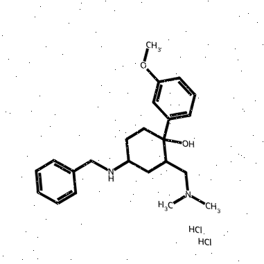 COc1cccc(C2(O)CCC(NCc3ccccc3)CC2CN(C)C)c1.Cl.Cl